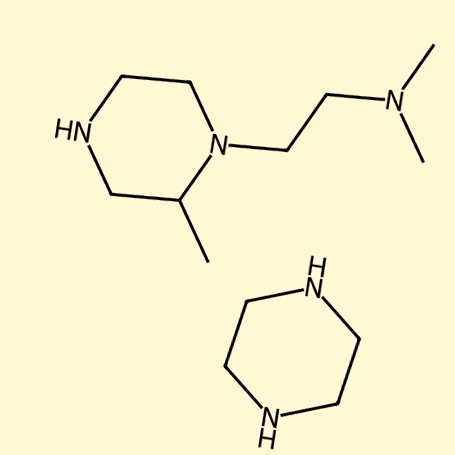 C1CNCCN1.CC1CNCCN1CCN(C)C